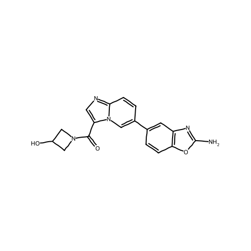 Nc1nc2cc(-c3ccc4ncc(C(=O)N5CC(O)C5)n4c3)ccc2o1